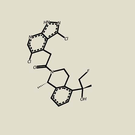 C[C@H]1c2cccc([C@@](C)(O)CF)c2CCN1C(=O)Cc1c(Cl)cnc2[nH]nc(Cl)c12